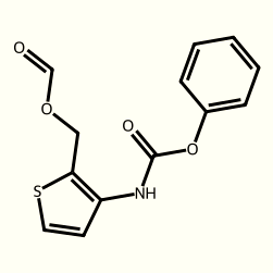 O=COCc1sccc1NC(=O)Oc1ccccc1